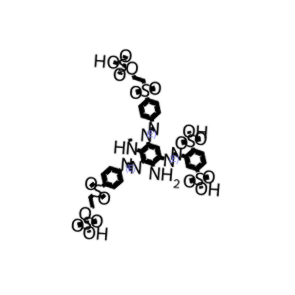 CNc1c(/N=N/c2ccc(S(=O)(=O)CCOS(=O)(=O)O)cc2)cc(/N=N/c2cc(S(=O)(=O)O)ccc2S(=O)(=O)O)c(N)c1/N=N/c1ccc(S(=O)(=O)CCOS(=O)(=O)O)cc1